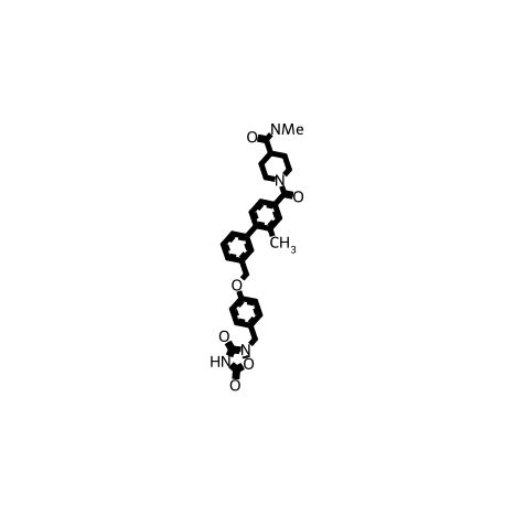 CNC(=O)C1CCN(C(=O)c2ccc(-c3cccc(COc4ccc(Cn5oc(=O)[nH]c5=O)cc4)c3)c(C)c2)CC1